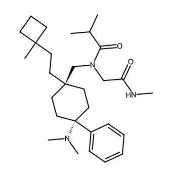 CNC(=O)CN(C[C@]1(CCC2(C)CCC2)CC[C@@](c2ccccc2)(N(C)C)CC1)C(=O)C(C)C